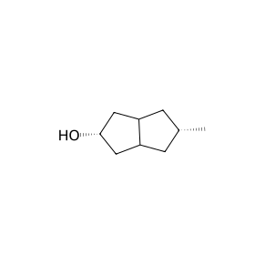 C[C@H]1CC2C[C@@H](O)CC2C1